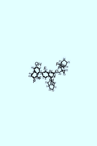 Oc1cc(-c2ccc3c(N4CC5CCC(C4)N5)nc(OCC4(CN5C6CCC5C(F)(F)C6)CC4)nc3c2F)c2c(F)c(F)ccc2c1